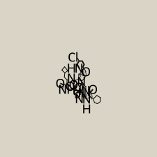 NC(=O)C(=O)C(CC1CCC1)NC(=O)C1C[C@H](Oc2ccc(Cl)cn2)CN1C(=O)CNC(=O)[C@@H](Nc1ncccn1)C1CCCCC1